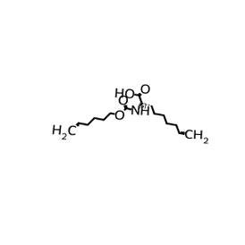 C=CCCCCC[C@H](NC(=O)OCCCCC=C)C(=O)O